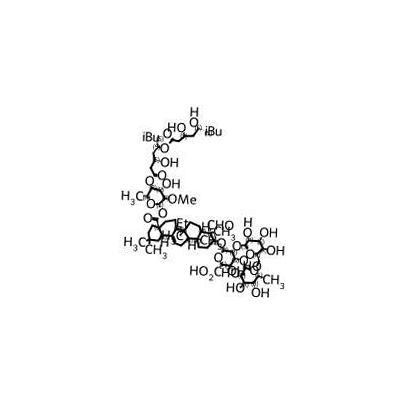 CC[C@H](C)[C@H](C[C@H](O)CC(=O)O[C@@H]1[C@H](O)[C@@H](OC)[C@H](OC(=O)[C@]23CCC(C)(C)C[C@H]2C2=CC[C@@H]4[C@@]5(C)CC[C@H](O[C@@H]6O[C@H](C(=O)O)[C@@H](O)[C@H](O[C@@H]7O[C@@H](C)[C@H](O)[C@@H](O)[C@H]7O)[C@H]6O[C@@H]6O[C@H](CO)[C@H](O)[C@H](O)[C@H]6O)[C@@](C)(C=O)[C@@H]5CC[C@@]4(C)[C@]2(CC)CC3)O[C@@H]1C)OC(=O)C[C@@H](O)C[C@H](O)[C@@H](C)CC